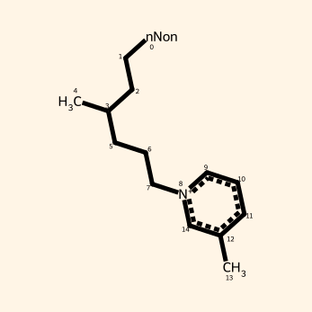 CCCCCCCCCCCC(C)CCC[n+]1cccc(C)c1